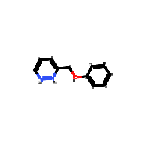 [c]1ccc(OCc2cccnn2)cc1